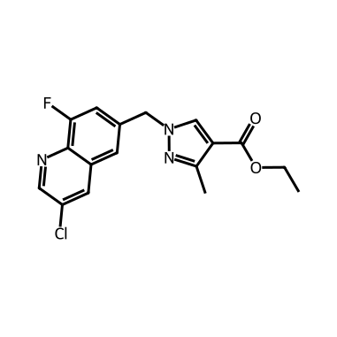 CCOC(=O)c1cn(Cc2cc(F)c3ncc(Cl)cc3c2)nc1C